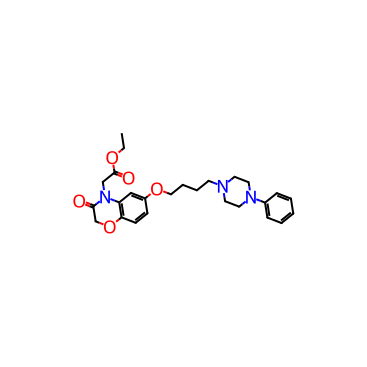 CCOC(=O)CN1C(=O)COc2ccc(OCCCCN3CCN(c4ccccc4)CC3)cc21